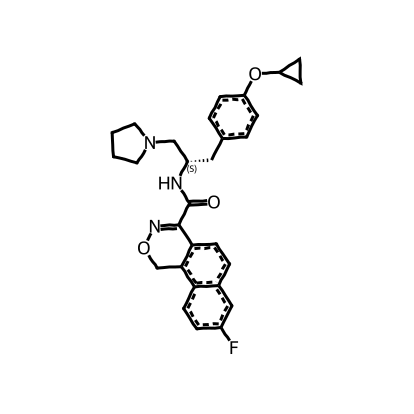 O=C(N[C@@H](Cc1ccc(OC2CC2)cc1)CN1CCCC1)C1=NOCc2c1ccc1cc(F)ccc21